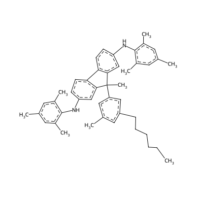 CCCCCCc1cc(C)cc(C2(C)c3cc(Nc4c(C)cc(C)cc4C)ccc3-c3ccc(Nc4c(C)cc(C)cc4C)cc32)c1